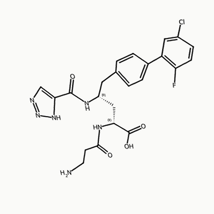 NCCC(=O)N[C@H](C[C@@H](Cc1ccc(-c2cc(Cl)ccc2F)cc1)NC(=O)c1cnn[nH]1)C(=O)O